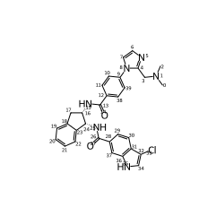 CN(C)Cc1nccn1-c1ccc(C(=O)N[C@H]2Cc3ccccc3[C@H]2NC(=O)c2ccc3c(Cl)c[nH]c3c2)cc1